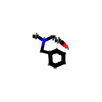 C=O.CN(C)Cc1ccccc1